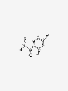 O=C(c1ccc(F)cc1F)C(F)Cl